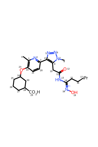 Cc1nc(-c2nnn(C)c2CC(=O)N/C(CCC(C)C)=N/O)ccc1OC1CCCC(C(=O)O)C1